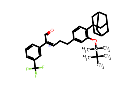 CC(C)(C)[Si](C)(C)Oc1cc(CC/C=C(\C=O)c2cccc(C(F)(F)F)c2)ccc1C12CC3CC(CC(C3)C1)C2